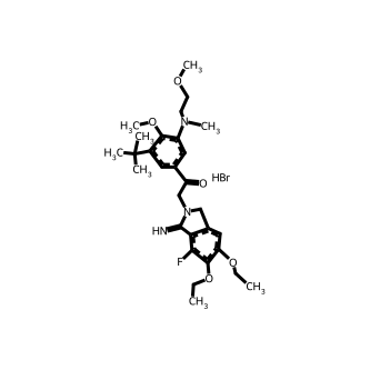 Br.CCOc1cc2c(c(F)c1OCC)C(=N)N(CC(=O)c1cc(N(C)CCOC)c(OC)c(C(C)(C)C)c1)C2